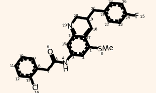 CSc1cc(NC(=O)Cc2ccccc2Cl)cc2c1=CC(Cc1ccc(F)cc1)CN=2